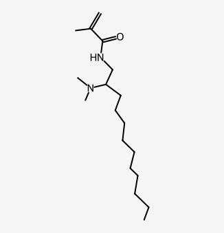 C=C(C)C(=O)NCC(CCCCCCCCCC)N(C)C